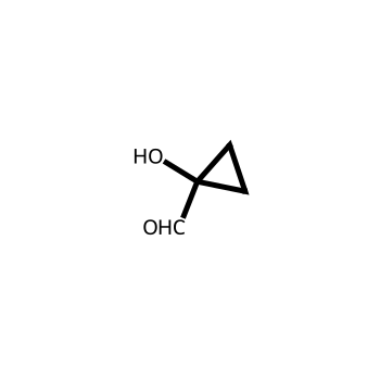 O=CC1(O)CC1